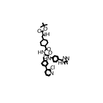 CC(C)(C)OC(=O)NCC1CCC(C(=O)N[C@@H](Cc2ccc(-c3cccnc3Cl)cc2)C(=O)Nc2ccc(-c3nnn[nH]3)cc2)CC1